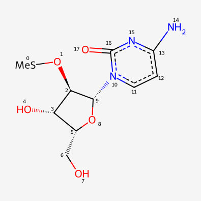 CSO[C@@H]1[C@@H](O)[C@@H](CO)O[C@H]1n1ccc(N)nc1=O